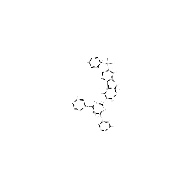 CC1(C)c2ccccc2-c2cc3c(cc21)oc1ccc(-c2nc(-c4ccccc4)nc(-c4ccccc4)n2)cc13